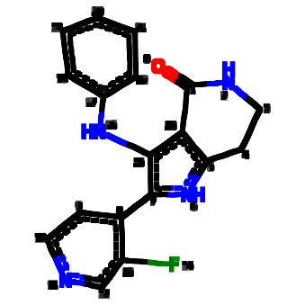 O=C1NCCc2[nH]c(-c3ccncc3F)c(Nc3ccccc3)c21